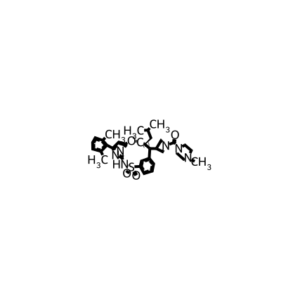 Cc1cccc(C)c1-c1cc2nc(n1)NS(=O)(=O)c1cccc(c1)C(C1CN(C(=O)N3CCN(C)CC3)C1)[C@H](CC(C)C)CO2